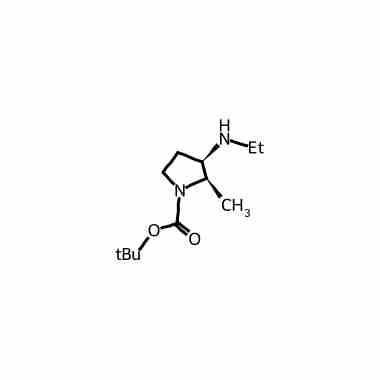 CCN[C@@H]1CCN(C(=O)OC(C)(C)C)[C@@H]1C